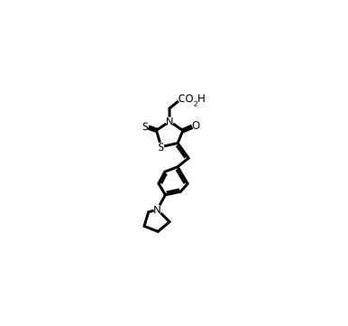 O=C(O)CN1C(=O)/C(=C/c2ccc(N3CCCC3)cc2)SC1=S